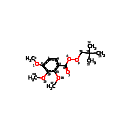 COc1ccc(C(=O)OO[CH]C(C)(C)C)c(OC)c1OC